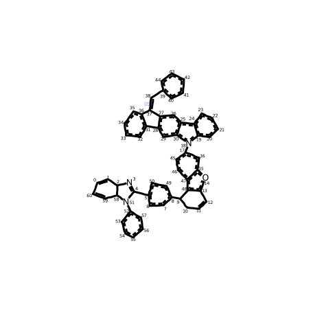 C1=CC2N=C(c3ccc(C4CC=Cc5oc6cc(-n7c8ccccc8c8cc9c(cc87)-c7ccccc7/C9=C/c7ccccc7)ccc6c54)cc3)N(c3ccccc3)C2C=C1